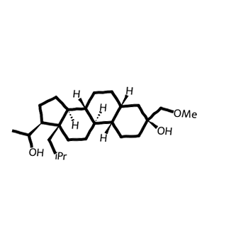 COC[C@]1(O)CC[C@H]2[C@H](CC[C@@H]3[C@@H]2CC[C@]2(CC(C)C)[C@@H](C(C)O)CC[C@@H]32)C1